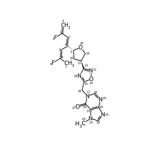 C=C(F)/C=C(\C=C(/C)F)[C@H]1C[C@H](c2noc(Cn3cnc4ncn(C)c4c3=O)n2)CO1